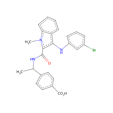 CC(NC(=O)c1c(Nc2cccc(Br)c2)c2ccccc2n1C)c1ccc(C(=O)O)cc1